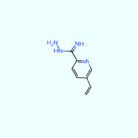 C=Cc1ccc(C(=N)NN)nc1